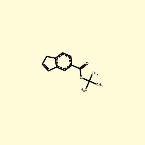 CC(C)(C)OC(=O)c1ccc2c(c1)C=CC2